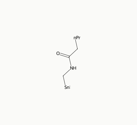 CCCCC(=O)N[CH2][Sn]